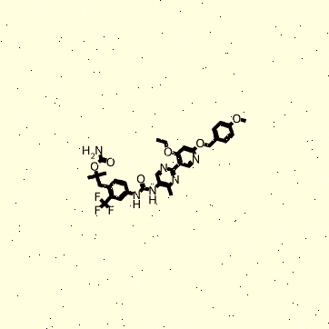 CCOc1cc(OCc2ccc(OC)cc2)ncc1-c1ncc(NC(=O)Nc2ccc(CC(C)(C)OC(N)=O)c(C(F)(F)F)c2)c(C)n1